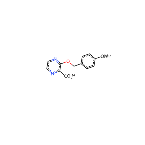 COc1ccc(COc2nccnc2C(=O)O)cc1